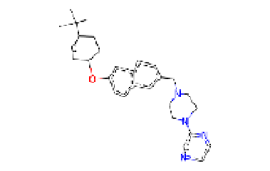 CC(C)(C)C1CCC(Oc2ccc3cc(CN4CCN(c5cnccn5)CC4)ccc3c2)CC1